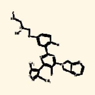 CNC[C@@H](O)COc1ccc(Cl)c(-c2nc(-c3c(C)noc3C)c(F)c(N3Cc4nccnc4C3)n2)c1